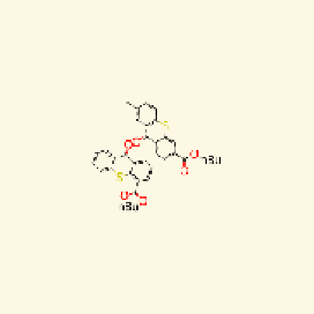 CCCCOC(=O)c1ccc2c(=O)c3cc(C)ccc3sc2c1.CCCCOC(=O)c1cccc2c(=O)c3ccccc3sc12